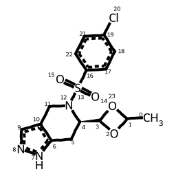 CC1OC([C@H]2Cc3[nH]ncc3CN2S(=O)(=O)c2ccc(Cl)cc2)O1